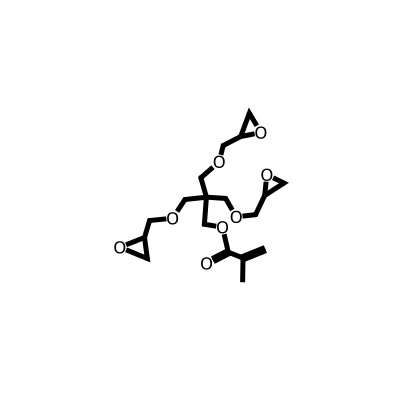 C=C(C)C(=O)OCC(COCC1CO1)(COCC1CO1)COCC1CO1